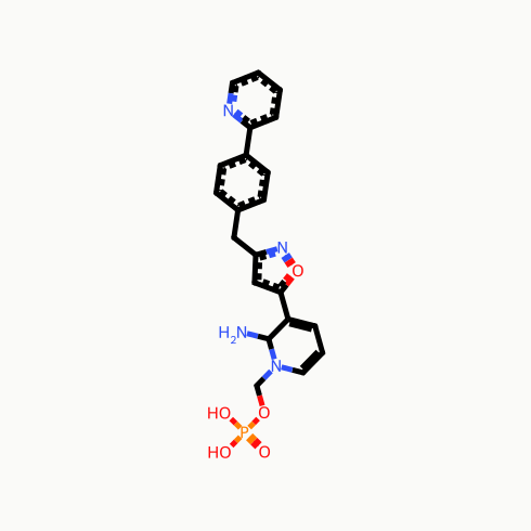 NC1C(c2cc(Cc3ccc(-c4ccccn4)cc3)no2)=CC=CN1COP(=O)(O)O